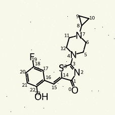 O=C1N=C(N2CCN(C3CC3)CC2)SC1=Cc1cc(F)ccc1O